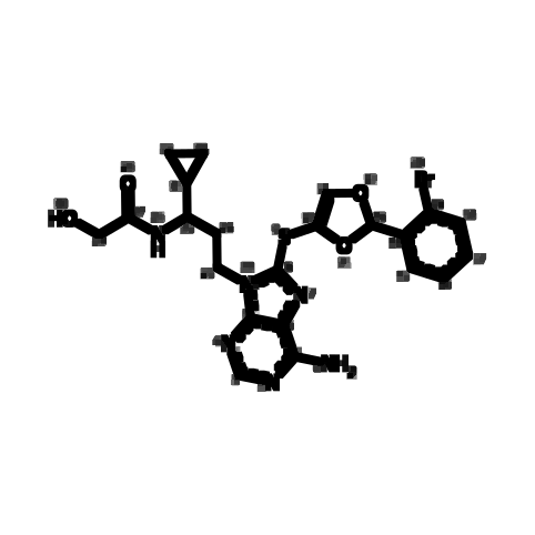 Nc1ncnc2c1nc(SC1=COC(c3ccccc3Br)O1)n2CCC(NC(=O)CO)C1CC1